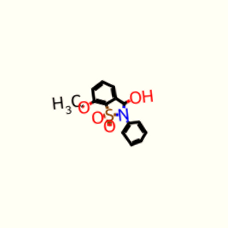 COc1cccc2c1S(=O)(=O)N(c1ccccc1)C2O